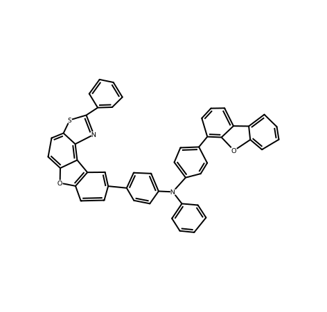 c1ccc(-c2nc3c(ccc4oc5ccc(-c6ccc(N(c7ccccc7)c7ccc(-c8cccc9c8oc8ccccc89)cc7)cc6)cc5c43)s2)cc1